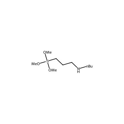 CCCCNCC[CH2][Ti]([O]C)([O]C)[O]C